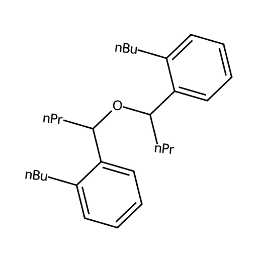 CCCCc1ccccc1C(CCC)OC(CCC)c1ccccc1CCCC